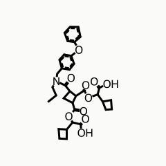 CCCN(Cc1ccc(Oc2ccccc2)cc1)C(=O)C1CC(C(=O)OC(C(=O)O)C2CCC2)C1C(=O)OC(C(=O)O)C1CCC1